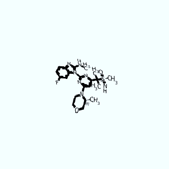 CNc1nc2ccc(F)cc2n1-c1nc(N2CCOC[C@H]2C)cc(C(C)(C)[S@](C)(=N)=O)n1